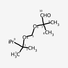 CC(C)C(C)(C)OCOC(C)(C)C=O